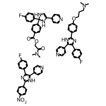 CN(C)C(=O)COC(=O)c1ccc(C2(c3ccc(F)cc3)NC=C(c3ccncc3)N2)cc1.CN(C)CCCOc1ccc(-c2nc(-c3ccc(F)cc3)c(-c3ccncc3)[nH]2)cc1.O=[N+]([O-])c1ccc(-c2nc(-c3ccc(F)cc3)c(-c3ccncc3)[nH]2)cc1